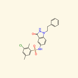 Cc1cc(Cl)c(C)c(S(=O)(=O)Nc2ccc3c(c2)c(=O)[nH]n3CCc2ccccc2)c1